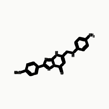 COc1ccc(-c2nc3[nH]c(CNc4ccc(C)cc4)cc(=O)n3n2)cc1